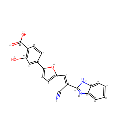 N#C/C(=C\c1ccc(-c2ccc(C(=O)O)c(O)c2)o1)c1nc2ccccc2[nH]1